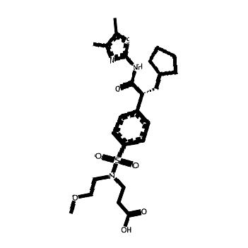 COCCN(CCC(=O)O)S(=O)(=O)c1ccc([C@@H](CC2CCCC2)C(=O)Nc2nc(C)c(C)s2)cc1